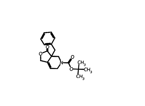 CC(C)(C)OC(=O)N1CC=C2COC(=O)C2(Cc2ccccc2)C1